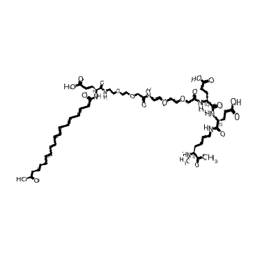 CN[C@@H](CCCCNC(=O)[C@H](CCC(=O)O)NC(=O)[C@H](CCC(=O)O)NC(=O)COCCOCCNC(=O)COCCOCCNC(=O)[C@H](CCC(=O)O)NC(=O)CCCCCCCCCCCCCCCCC(=O)O)C(C)=O